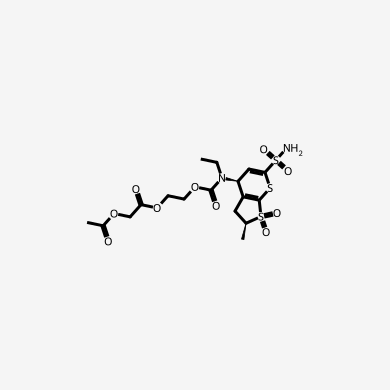 CCN(C(=O)OCCOC(=O)COC(C)=O)[C@H]1C=C(S(N)(=O)=O)SC2=C1C[C@H](C)S2(=O)=O